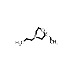 CCCN1CCO[C@H](CC)C1